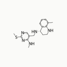 CNc1nc(SC)ncc1CN[C@H]1CCNc2c(C)cccc21